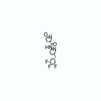 Cn1cc(C(=O)Nc2ccc(Cc3cc(F)c(F)c(F)c3)cn2)ccc1=O